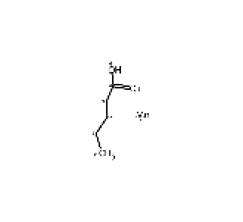 CCCCC(=O)O.[Mn]